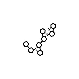 C1CCC(C2CCCC(N3C4CCCCC4C4CC(C5CCC6C(C5)C5CCCCC5N6C5CCCC6C7CCCCC7SC65)CCC43)C2)CC1